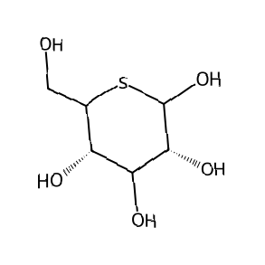 OCC1SC(O)[C@H](O)C(O)[C@@H]1O